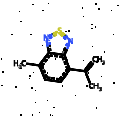 C=C(C)c1ccc(C)c2nsnc12